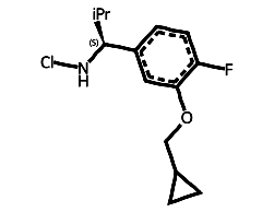 CC(C)[C@H](NCl)c1ccc(F)c(OCC2CC2)c1